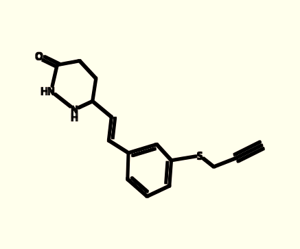 C#CCSc1cccc(/C=C/C2CCC(=O)NN2)c1